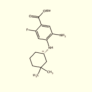 COC(=O)c1cc(N)c(N[C@H]2CCCC(C)(C)C2)cc1F